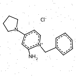 Nc1cc(N2CCCC2)cc[n+]1Cc1ccccc1.[Cl-]